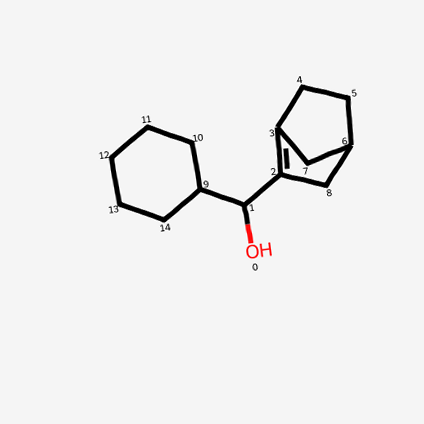 OC(C1=C2CCC(C2)C1)C1CCCCC1